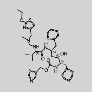 CCOc1nc(CN(C)CN[C@H](C(=O)N[C@@H](Cc2ccccc2)C[C@H](O)[C@H](Cc2ccccc2)NC(=O)OCc2cncs2)C(C)C)cs1